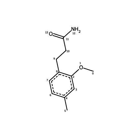 COc1cc(C)ccc1CCC(N)=O